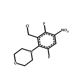 O=[N+]([O-])c1cc(F)c(N2CCOCC2)c(CCl)c1F